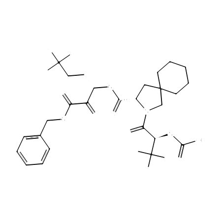 CC(F)(F)CC[C@H](NC(=O)[C@@H]1CC2(CCCCC2)CN1C(=O)[C@@H](NC(=O)O)C(C)(C)C)C(=O)C(=O)NCc1ccccc1